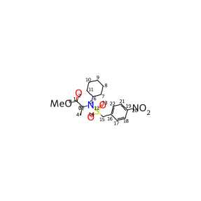 COC(=O)[C@H](C)N(C1CCCCC1)S(=O)(=O)Cc1ccc([N+](=O)[O-])cc1